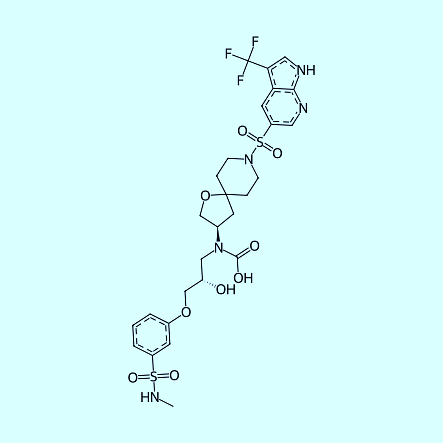 CNS(=O)(=O)c1cccc(OC[C@@H](O)CN(C(=O)O)[C@H]2COC3(CCN(S(=O)(=O)c4cnc5[nH]cc(C(F)(F)F)c5c4)CC3)C2)c1